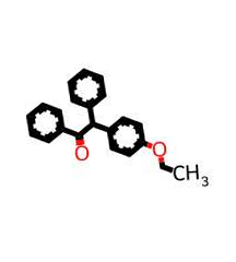 CCOc1ccc(C(C(=O)c2ccccc2)c2ccccc2)cc1